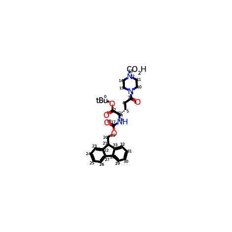 CC(C)(C)OC(=O)[C@H](CCC(=O)N1CCN(C(=O)O)CC1)NC(=O)OCC1c2ccccc2-c2ccccc21